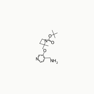 CC(C)(C)OC(=O)N1CCC1(C)COc1cnccc1CN